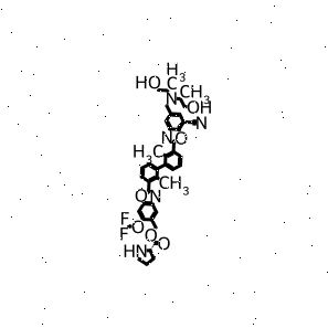 Cc1c(-c2nc3cc(COC(=O)[C@@H]4CCCN4)c(OC(F)F)cc3o2)cccc1-c1cccc(-c2nc3cc(CN(C(C)CO)C(C)CO)cc(C#N)c3o2)c1C